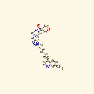 O=C(C1CCOCC1)N1CCN(Cc2cn(CCCCCCSc3ccnc4cc(C(F)(F)F)ccc34)nn2)CC1